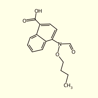 CCCCON(C=O)c1ccc(C(=O)O)c2ccccc12